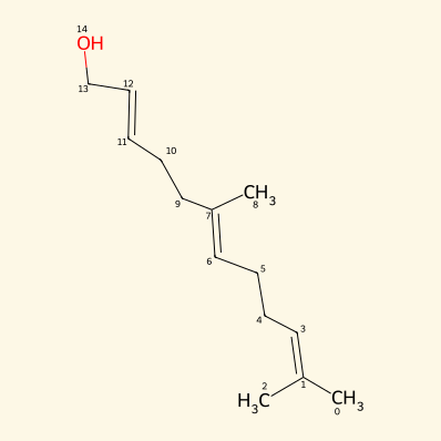 CC(C)=CCC/C=C(\C)CC/C=C/CO